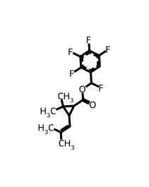 CC(C)=CC1C(C(=O)OC(F)c2cc(F)c(F)c(F)c2F)C1(C)C